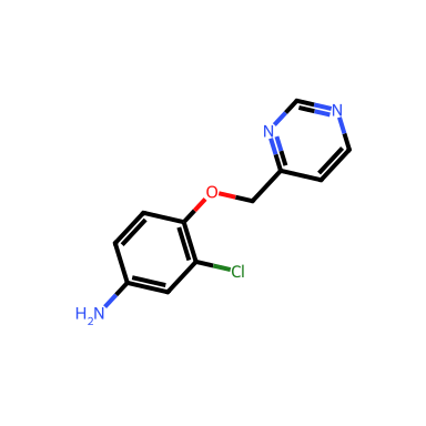 Nc1ccc(OCc2ccncn2)c(Cl)c1